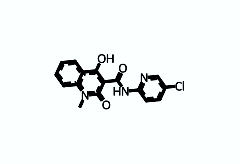 Cn1c(=O)c(C(=O)Nc2ccc(Cl)cn2)c(O)c2ccccc21